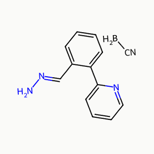 BC#N.NN=Cc1ccccc1-c1ccccn1